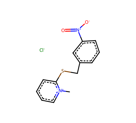 C[n+]1ccccc1SCc1cccc([N+](=O)[O-])c1.[Cl-]